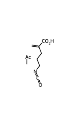 C=C(CCCN=C=O)C(=O)O.CC(C)=O